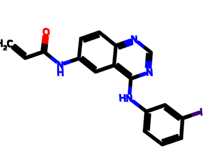 C=CC(=O)Nc1ccc2ncnc(Nc3cccc(I)c3)c2c1